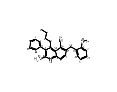 CCCCc1c(-c2ccccc2)c(N)nc2ccc(Cc3ccccc3OC)c(Br)c12